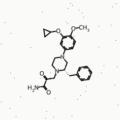 COc1ccc(N2CCN(CC(=O)C(N)=O)[C@@H](Cc3ccccc3)C2)cc1OC1CC1